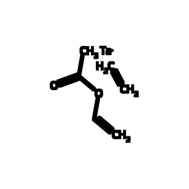 C=C.C=COC(C)=O.[Ta]